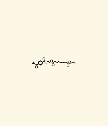 CCCOC(=O)CCCCCCCC(=O)OCCOC(=O)c1ccc(C(=O)C2CC2)cc1